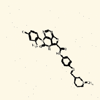 Cc1cc(Cl)ccc1N1C(=O)Nc2c(C(=O)Nc3ccc(OCC4CCCN(C)C4)cc3)sc3ncnc1c23